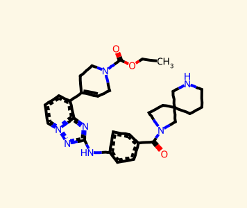 CCOC(=O)N1CC=C(c2cccn3nc(Nc4ccc(C(=O)N5CCC6(CCCNC6)C5)cc4)nc23)CC1